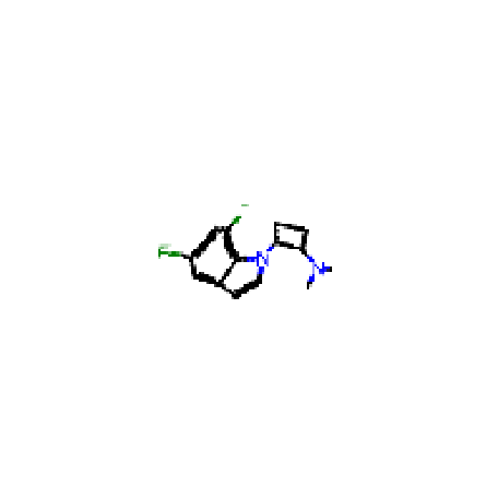 CN(C)C1CCC1n1ccc2cc(F)cc(F)c21